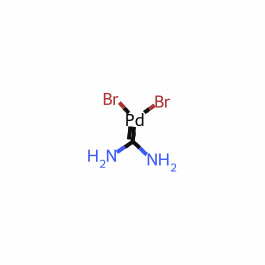 N[C](N)=[Pd]([Br])[Br]